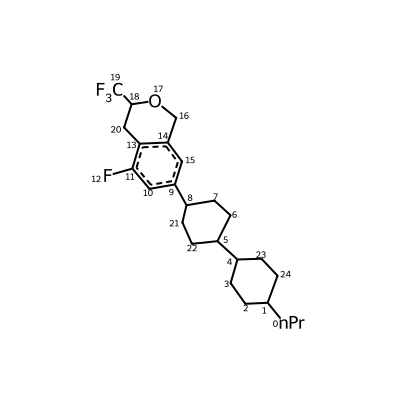 CCCC1CCC(C2CCC(c3cc(F)c4c(c3)COC(C(F)(F)F)C4)CC2)CC1